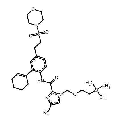 C[Si](C)(C)CCOCn1cc(C#N)nc1C(=O)Nc1ccc(CCS(=O)(=O)N2CCOCC2)cc1C1=CCCCC1